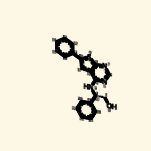 OC[C@@H](Nc1ncnc2sc(-c3ccccc3)cc12)c1ccccc1